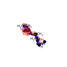 Cc1c(-c2ccc(N3CCc4cccc(C(=O)Nc5nc6ccccc6s5)c4C3)nc2C(=O)O)cnn1CC12CC3(C)CC(C)(C1)CC(OCCN(CCS(=O)(=O)O)C(=O)OCc1ccc(NC(=O)[C@@H](C)NC(=O)[C@H](N)C(C)C)cc1CC[C@@H]1O[C@H](C(=O)O)[C@@H](O)[C@H](O)[C@H]1O)(C3)C2